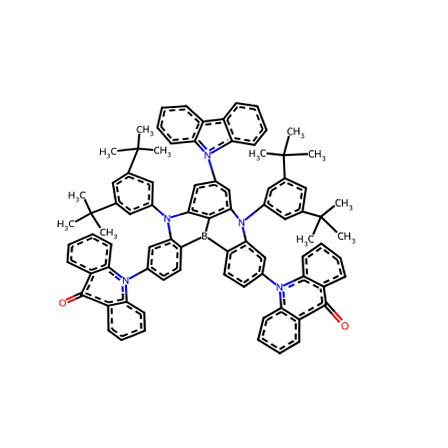 CC(C)(C)c1cc(N2c3cc(-n4c5ccccc5c(=O)c5ccccc54)ccc3B3c4ccc(-n5c6ccccc6c(=O)c6ccccc65)cc4N(c4cc(C(C)(C)C)cc(C(C)(C)C)c4)c4cc(-n5c6ccccc6c6ccccc65)cc2c43)cc(C(C)(C)C)c1